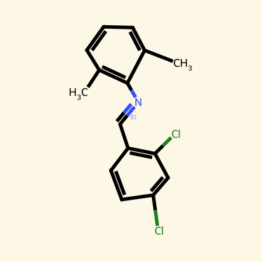 Cc1cccc(C)c1/N=C/c1ccc(Cl)cc1Cl